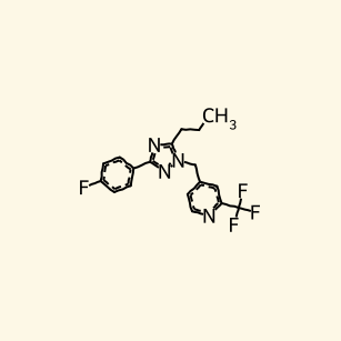 CCCc1nc(-c2ccc(F)cc2)nn1Cc1ccnc(C(F)(F)F)c1